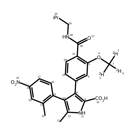 [2H]C([2H])([2H])Oc1cc(-c2c(C(=O)O)[nH]c(C)c2-c2ccc([N+](=O)[O-])cc2C)ccc1C(=O)NCC(C)C